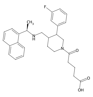 C[C@@H](NCC1CCN(C(=O)CCCC(=O)O)CC1c1cccc(F)c1)c1cccc2ccccc12